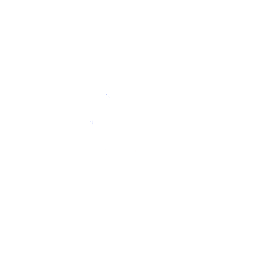 C1=NCc2ccccc2OCOc2ccccc2CN=1